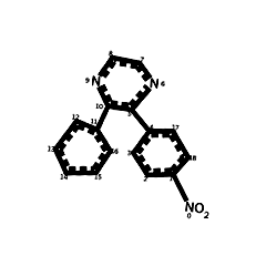 O=[N+]([O-])c1ccc(-c2nccnc2-c2ccccc2)cc1